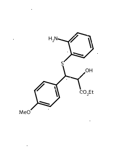 CCOC(=O)C(O)C(Sc1ccccc1N)c1ccc(OC)cc1